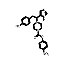 N#Cc1ccc(CC(c2cnc[nH]2)N2CCN(C(=O)Oc3ccc([N+](=O)[O-])cc3)CC2)cc1